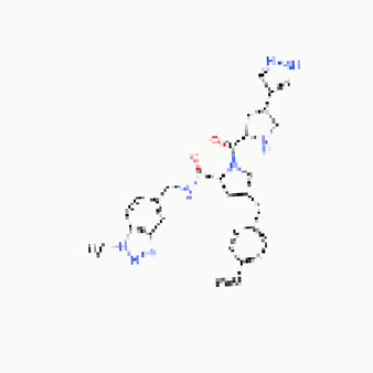 COc1ccc(CC2CC(C(=O)NCc3ccc4c(c3)nnn4C)N(C(=O)C3CC(c4cn[nH]c4)CN3)C2)cc1